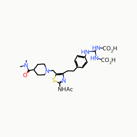 CC(=O)Nc1nc(CCc2ccc(NC(NC(=O)O)NC(=O)O)cc2)c(CN2CCC(C(=O)N(C)C)CC2)s1